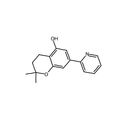 CC1(C)CCc2c(O)cc(-c3ccccn3)cc2O1